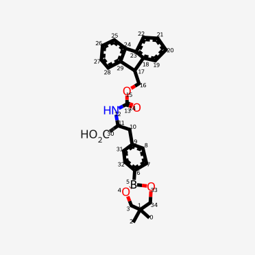 CC1(C)COB(c2ccc(CC(NC(=O)OCC3c4ccccc4-c4ccccc43)C(=O)O)cc2)OC1